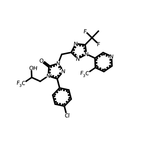 CC(F)(F)c1nc(Cn2nc(-c3ccc(Cl)cc3)n(CC(O)C(F)(F)F)c2=O)nn1-c1cnccc1C(F)(F)F